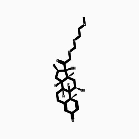 COCCOCOCC(=O)[C@@]1(O)[C@H](C)C[C@H]2[C@@H]3CCC4=CC(=O)C=C[C@]4(C)[C@@]3(F)[C@@H](O)C[C@@]21C